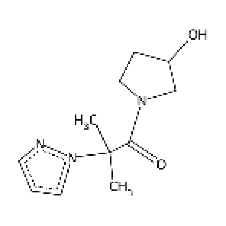 CC(C)(C(=O)N1CCC(O)C1)n1c[c]cn1